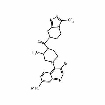 COc1ccc2c(N3CCC(C(=O)N4CCn5c(nnc5C(F)(F)F)C4)C(C)C3)c(Br)cnc2c1